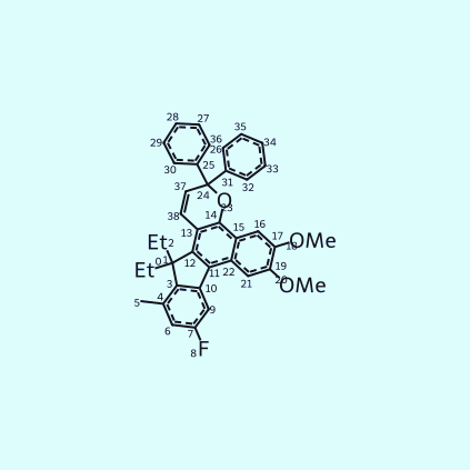 CCC1(CC)c2c(C)cc(F)cc2-c2c1c1c(c3cc(OC)c(OC)cc23)OC(c2ccccc2)(c2ccccc2)C=C1